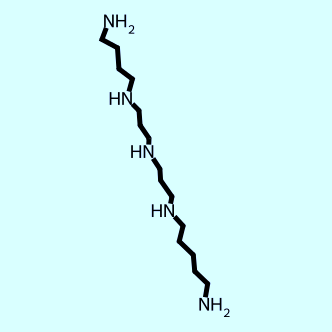 NCCCCCNCCCNCCCNCCCCN